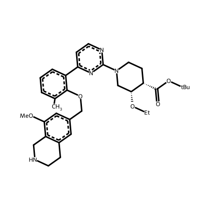 CCO[C@@H]1CN(c2nccc(-c3cccc(C)c3OCc3cc4c(c(OC)c3)CNCC4)n2)CC[C@@H]1C(=O)OC(C)(C)C